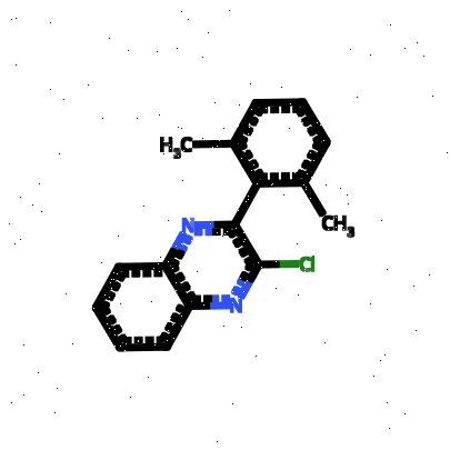 Cc1cccc(C)c1-c1nc2ccccc2nc1Cl